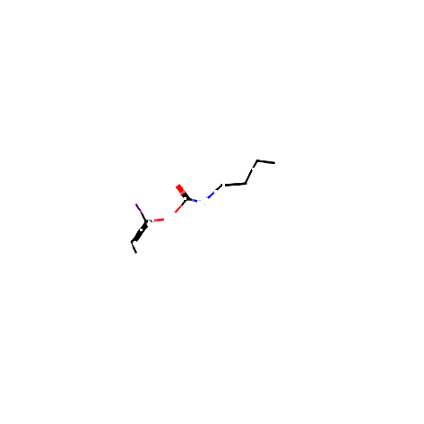 C/C=C(/I)OC(=O)NCCCC